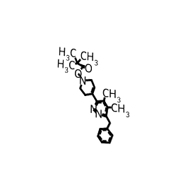 Cc1c(Cc2ccccc2)nnc(C2=CCN(OC(=O)C(C)(C)C)CC2)c1C